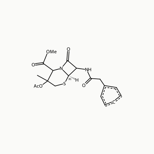 COC(=O)C1N2C(=O)C(NC(=O)Cc3ccccc3)[C@H]2SCC1(C)OC(C)=O